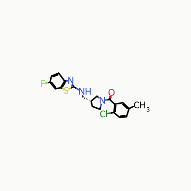 Cc1ccc(Cl)c(C(=O)N2CC[C@H](CNc3nc4ccc(F)cc4s3)C2)c1